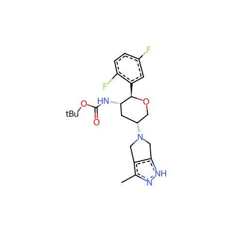 Cc1n[nH]c2c1CN([C@H]1CO[C@H](c3cc(F)ccc3F)[C@@H](NC(=O)OC(C)(C)C)C1)C2